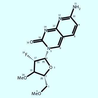 COC[C@H]1O[C@@H](n2cc3ccc(N)nc3nc2=O)[C@@H](F)C1OC